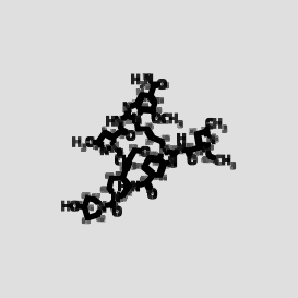 CCn1nc(C)cc1C(=O)Nc1nc2cc(C(N)=O)cc(OC)c2n1CC=CCn1c(NC(=O)c2cc(C)nn2CC)nc2cc(C(N)=O)cc(OCC#CC3CCN(C(=O)N4CCC(O)CC4)CC3)c21